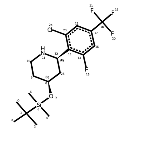 CC(C)(C)[Si](C)(C)O[C@H]1CCN[C@@H](c2c(F)cc(C(F)(F)F)cc2Cl)C1